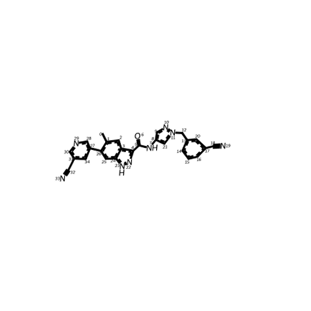 Cc1cc2c(C(=O)Nc3cnn(Cc4cccc(C#N)c4)c3)n[nH]c2cc1-c1cncc(C#N)c1